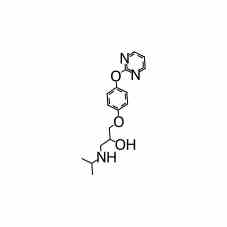 CC(C)NCC(O)COc1ccc(Oc2ncccn2)cc1